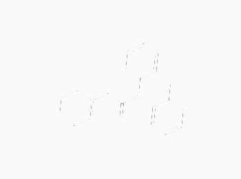 O=C(CN1CCOCC1)N1c2ccccc2Oc2ccccc21